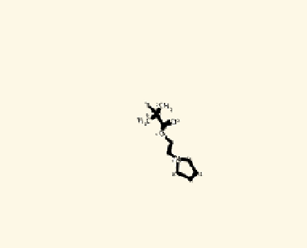 CC(C)(I)C(=O)OCCN1CCCC1